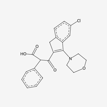 O=C(O)C(C(=O)C1=C(N2CCOCC2)c2cc(Cl)ccc2C1)c1ccccc1